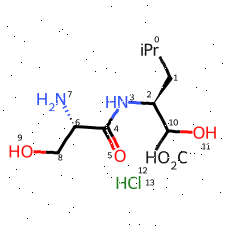 CC(C)C[C@H](NC(=O)[C@@H](N)CO)C(O)C(=O)O.Cl